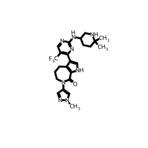 Cn1cc(N2CCCc3c(-c4nc(NC5CCC(C)(C)NC5)ncc4C(F)(F)F)c[nH]c3C2=O)cn1